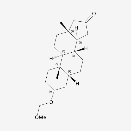 COCO[C@@H]1CC[C@@]2(C)[C@H](CC[C@H]3[C@@H]4CC(=O)C[C@@]4(C)CC[C@@H]32)C1